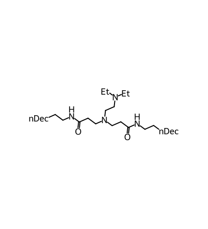 CCCCCCCCCCCCNC(=O)CCN(CCC(=O)NCCCCCCCCCCCC)CCN(CC)CC